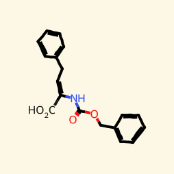 O=C(N/C(=C\Cc1ccccc1)C(=O)O)OCc1ccccc1